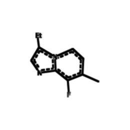 CCc1cnc2c(F)c(C)ccn12